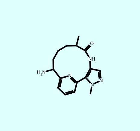 CC1CCCC(N)c2cccc(n2)-c2c(cnn2C)NC1=O